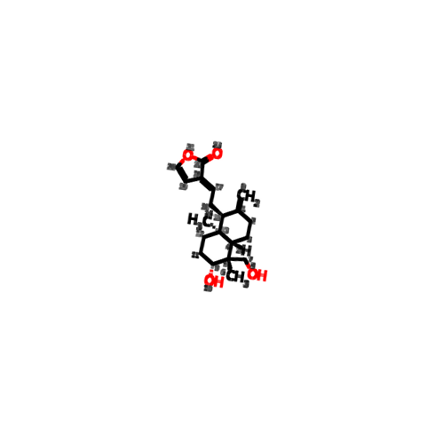 C=C1CC[C@@H]2[C@](C)(CO)[C@H](O)CC[C@@]2(C)[C@H]1C/C=C1\C=COC1=O